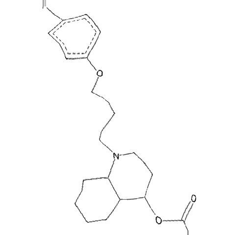 NC(=O)OC1CCN(CCCOc2ccc(F)cc2)C2CCCCC12